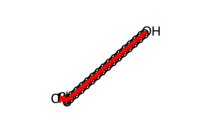 CC(C)(CCCS(=O)(=O)CCOCCOCCOCCOCCOCCOCCOCCOCCOCCOCCOCCOCCOCCOCCOCCOCCOCCOCCOCCOCCOCCOCCOCCOCCOCCOCCOCCOCCOCCO)N(Cl)Cl